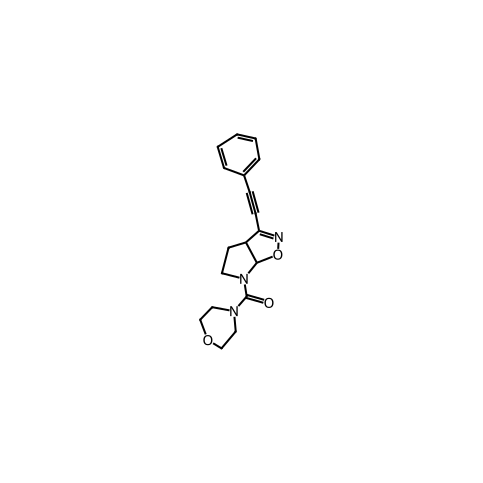 O=C(N1CCOCC1)N1CCC2C(C#Cc3ccccc3)=NOC21